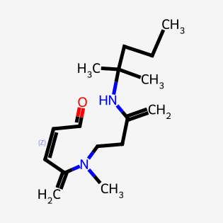 C=C(CCN(C)C(=C)/C=C\C=O)NC(C)(C)CCC